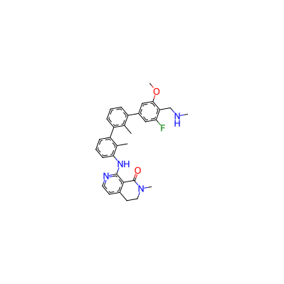 CNCc1c(F)cc(-c2cccc(-c3cccc(Nc4nccc5c4C(=O)N(C)CC5)c3C)c2C)cc1OC